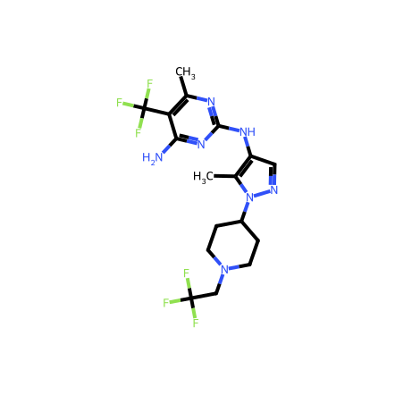 Cc1nc(Nc2cnn(C3CCN(CC(F)(F)F)CC3)c2C)nc(N)c1C(F)(F)F